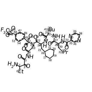 CCC(N)C(=O)C(=O)NC(=O)CN(C(=O)[C@H](CC1CCCCC1)NC(=O)[C@@H](NC(=O)[C@H](CC(C)C)NC(=O)c1cnccn1)[C@@H](C)CC)S(=O)(=O)c1ccc(S(=O)(=O)C(F)(F)F)cc1